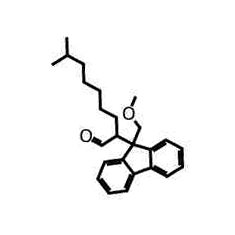 COCC1(C(C=O)CCCCCC(C)C)c2ccccc2-c2ccccc21